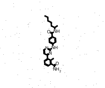 CCCCCC(C)NC(=O)c1ccc(Nc2nccc(-c3cccc(C(N)=O)c3C)n2)cc1